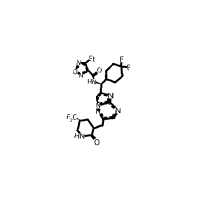 CCc1nonc1C(=O)N[C@H](c1cn2nc(CC3C[C@@H](C(F)(F)F)CNC3=O)cnc2n1)C1CCC(F)(F)CC1